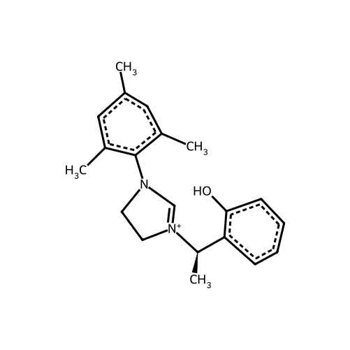 Cc1cc(C)c(N2C=[N+]([C@H](C)c3ccccc3O)CC2)c(C)c1